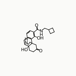 O=C1CCC2(O)C3Cc4ccc(C(=O)NCC5CCC5)c(O)c4C2(CCN3)C1